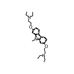 CCN(CC)CCOc1ccc2c3ccc(OCCN(CC)CC)cc3n(C)c2c1